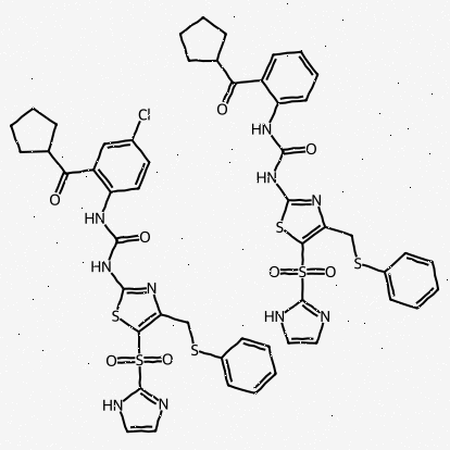 O=C(Nc1nc(CSc2ccccc2)c(S(=O)(=O)c2ncc[nH]2)s1)Nc1ccc(Cl)cc1C(=O)C1CCCC1.O=C(Nc1nc(CSc2ccccc2)c(S(=O)(=O)c2ncc[nH]2)s1)Nc1ccccc1C(=O)C1CCCC1